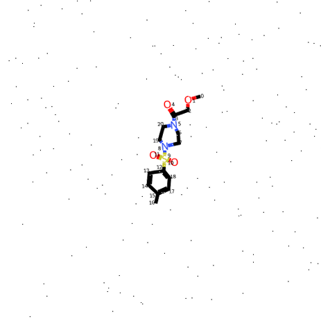 COCC(=O)N1CCN(S(=O)(=O)c2ccc(C)cc2)CC1